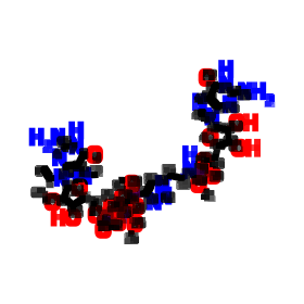 C=CN(c1nc(N)[nH]c(=O)c1NC)[C@@H]1O[C@H](COP(=O)(OC)OP(=O)(OC)OP(=O)(OC)c2cn(CCNP(=O)(OC)OC[C@H]3O[C@@H](n4cnc5c(=O)[nH]c(N)nc54)C(O)C3O)nn2)C(O)C1OC